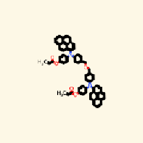 C=CC(=O)Oc1ccc(N(c2ccc(COCc3ccc(N(c4ccc(OC(=O)C=C)cc4)c4ccc5ccc6cccc7ccc4c5c67)cc3)cc2)c2ccc3ccc4cccc5ccc2c3c45)cc1